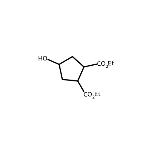 CCOC(=O)C1CC(O)CC1C(=O)OCC